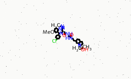 COc1ccc2c(c1)C(c1ccc(Cl)cc1)=N[C@@H](CC(=O)NCC(=O)NCCc1ccc3ccc([Si](C)(C)O)nc3c1)c1nnc(C)n1-2